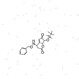 CC(C)(C)[Si](C)(C)OC1C(=O)C=C2C(NOCc3ccccc3)CC(=O)OC21